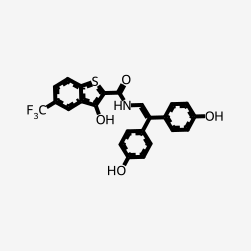 O=C(NC=C(c1ccc(O)cc1)c1ccc(O)cc1)c1sc2ccc(C(F)(F)F)cc2c1O